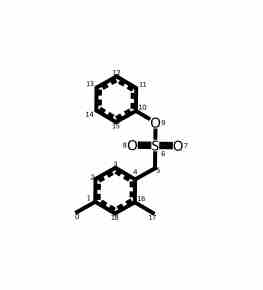 Cc1ccc(CS(=O)(=O)Oc2ccccc2)c(C)c1